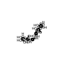 O=C(Nc1ccc(S[C@@H]2O[C@H](CO)[C@@H](O[C@@H]3O[C@H](CO)[C@@H](O)[C@H](O)[C@H]3O)[C@H](O)[C@H]2O)cc1)Nc1ccc(S[C@@H]2O[C@H](CO)[C@@H](O[C@@H]3O[C@H](CO)[C@@H](O)[C@H](O)[C@H]3O)[C@H](O)[C@H]2O)cc1